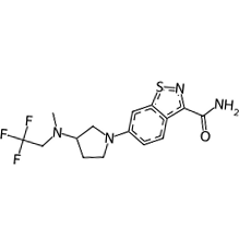 CN(CC(F)(F)F)C1CCN(c2ccc3c(C(N)=O)nsc3c2)C1